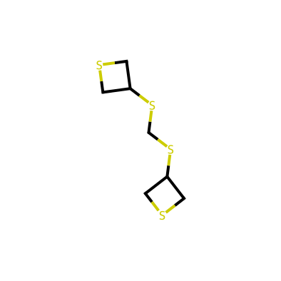 C(SC1CSC1)SC1CSC1